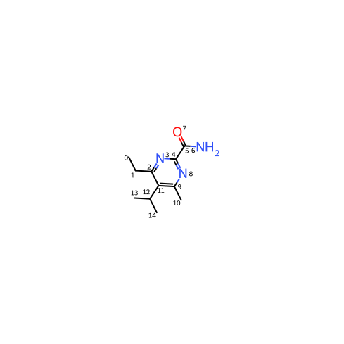 CCc1nc(C(N)=O)nc(C)c1C(C)C